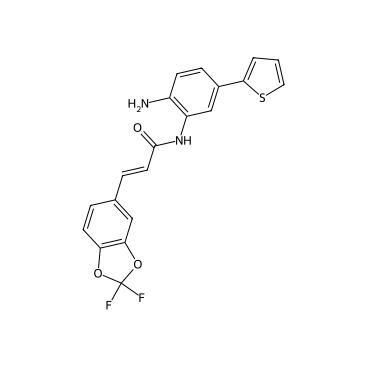 Nc1ccc(-c2cccs2)cc1NC(=O)C=Cc1ccc2c(c1)OC(F)(F)O2